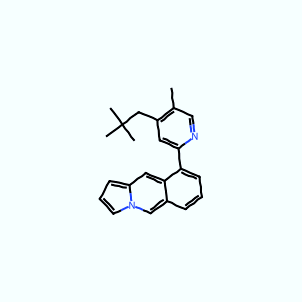 Cc1cnc(-c2cccc3cn4cccc4cc23)cc1CC(C)(C)C